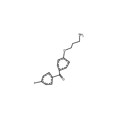 NCCCOc1ccc(C(=O)c2ccc(I)cc2)cc1